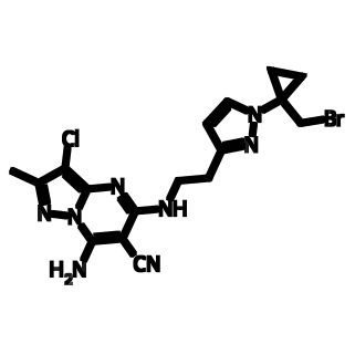 Cc1nn2c(N)c(C#N)c(NCCc3ccn(C4(CBr)CC4)n3)nc2c1Cl